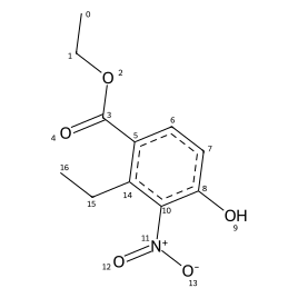 CCOC(=O)c1ccc(O)c([N+](=O)[O-])c1CC